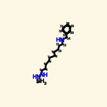 [SiH3]NNCCCCCCCCCCNCc1ccccc1